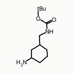 CC(C)(C)OC(=O)NCC1CCCC(N)C1